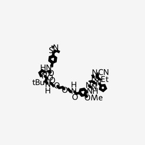 CC[C@@H]1c2c(C#N)ncn2-c2cnc(Nc3ccc(C(=O)NCCOCCOCC(=O)N[C@H](C(=O)N4CCC[C@H]4C(=O)NCc4ccc(-c5scnc5C)cc4)C(C)(C)C)cc3OC)nc2N1C1CCCC1